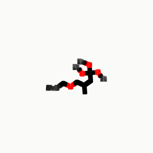 CCO[Si](CC(C)COCOC)(OCC)OCC